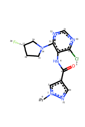 CC(C)n1cc(C(=O)Nc2c(Cl)ncnc2N2CC[C@H](F)C2)cn1